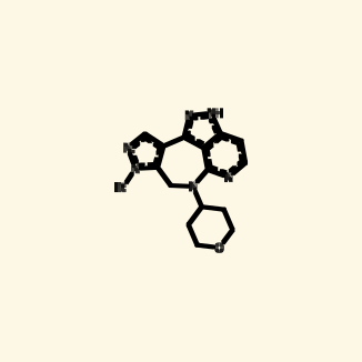 CCn1ncc2c1CN(C1CCOCC1)c1nccc3[nH]nc-2c13